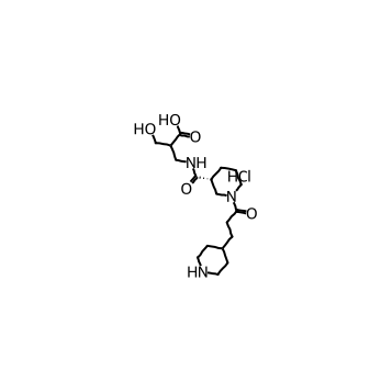 Cl.O=C(O)C(CO)CNC(=O)[C@@H]1CCCN(C(=O)CCC2CCNCC2)C1